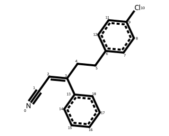 N#CC=C(CCc1ccc(Cl)cc1)c1ccccc1